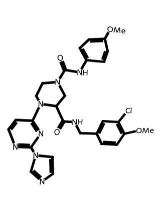 COc1ccc(NC(=O)N2CCN(c3ccnc(-n4ccnc4)n3)C(C(=O)NCc3ccc(OC)c(Cl)c3)C2)cc1